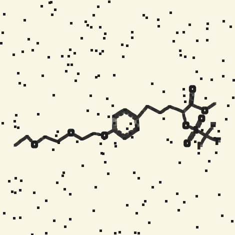 CCOCCOCCOc1ccc(CCCC(OS(=O)(=O)C(F)(F)F)C(=O)OC)cc1